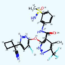 Cc1c(C(F)(F)F)nnc(Oc2nnc(C3(C#N)CCC3)cc2F)c1C(=O)Nc1cccc(S(C)(=N)=O)c1